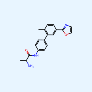 Cc1ccc(-c2ncco2)cc1-c1ccc(NC(=O)C(C)N)cc1